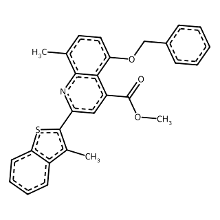 COC(=O)c1cc(-c2sc3ccccc3c2C)nc2c(C)ccc(OCc3ccccc3)c12